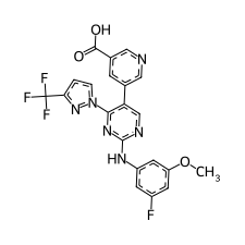 COc1cc(F)cc(Nc2ncc(-c3cncc(C(=O)O)c3)c(-n3ccc(C(F)(F)F)n3)n2)c1